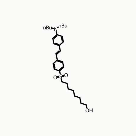 CCCCN(CCCC)c1ccc(C=Cc2ccc(S(=O)(=O)CCCCCCCCO)cc2)cc1